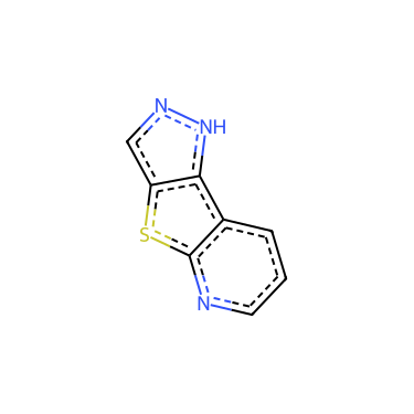 c1cnc2sc3cn[nH]c3c2c1